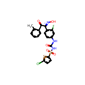 Cc1ccccc1C(=O)/C(=N/O)c1ccc(NC(=O)NS(=O)(=O)c2ccc(Cl)s2)cc1F